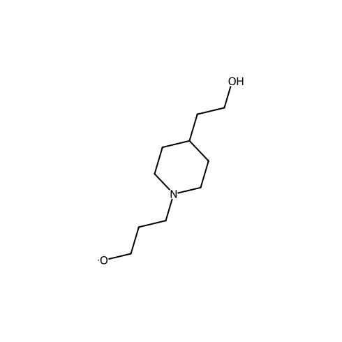 [O]CCCN1CCC(CCO)CC1